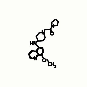 CCOc1ccc(NC2CCN(CC(=O)N3CCCC3)CC2)c2cccnc12